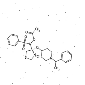 CC(c1ccccc1)N1CCC(O[C@@]2(N(OC(=O)C(F)(F)F)S(=O)(=O)c3ccccc3)CSCN2Cl)CC1